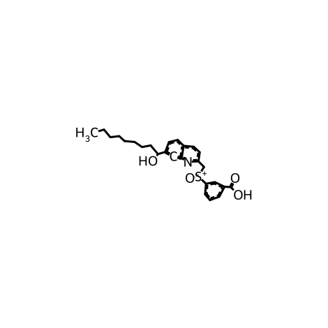 CCCCCCCCC(O)c1ccc2ccc(C[S+]([O-])c3cccc(C(=O)O)c3)nc2c1